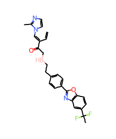 C=C/C(=C\n1ccnc1C)C(=O)CBCCc1ccc(-c2nc3cc(C(C)(F)F)ccc3o2)cc1